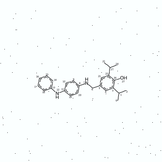 CC(C)c1cc(CNc2ccc(Nc3ccccc3)cc2)cc(C(C)C)c1O